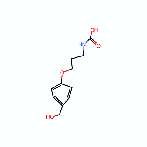 O=C(O)NCCCOc1ccc(CO)cc1